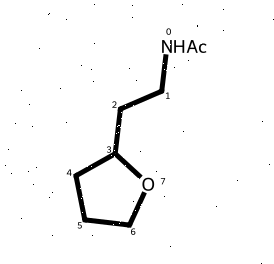 CC(=O)NCCC1CCCO1